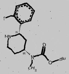 CN(C(=O)OC(C)(C)C)[C@@H]1CCN[C@H](c2ccccc2F)C1